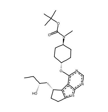 CC[C@@H](O)C[C@H]1CCc2sc3ncnc(O[C@H]4CC[C@H](N(C)C(=O)OC(C)(C)C)CC4)c3c21